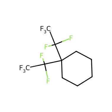 FC(F)(F)C(F)(F)C1(C(F)(F)C(F)(F)F)CCCCC1